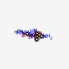 CCCNNC(=O)c1ccc(NC(=O)CNC(=O)c2ccccc2-c2c3ccc(=N)cc-3oc3cc(N)ccc23)cc1